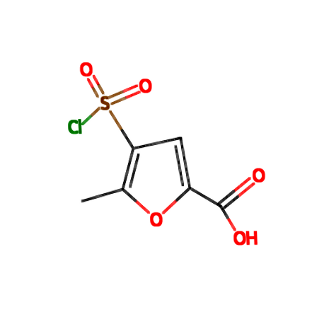 Cc1oc(C(=O)O)cc1S(=O)(=O)Cl